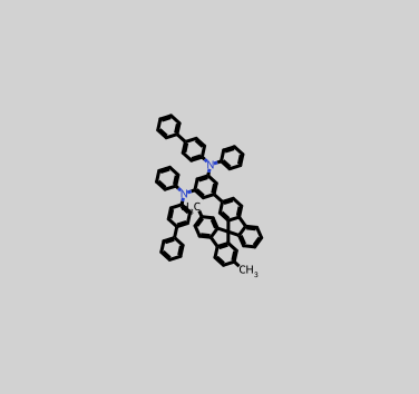 Cc1ccc2c(c1)C1(c3ccccc3-c3ccc(-c4cc(N(c5ccccc5)c5ccc(-c6ccccc6)cc5)cc(N(c5ccccc5)c5ccc(-c6ccccc6)cc5)c4)cc31)c1cc(C)ccc1-2